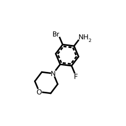 Nc1cc(F)c(N2CCOCC2)cc1Br